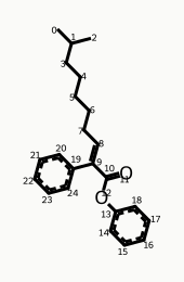 CC(C)CCCCCC=C(C(=O)Oc1ccccc1)c1ccccc1